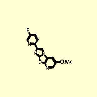 COc1cnc2oc3nc(-c4ccc(F)cn4)cn3c2c1